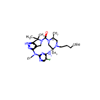 CCN(c1ncc(F)c(N)n1)c1n[nH]c2c1CN(C(=O)N1C[C@@H](C)N(CCCOC)C[C@@H]1C)C2(C)C